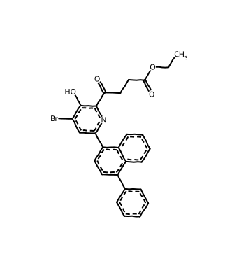 CCOC(=O)CCC(=O)c1nc(-c2ccc(-c3ccccc3)c3ccccc23)cc(Br)c1O